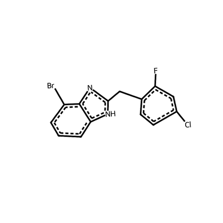 Fc1cc(Cl)ccc1Cc1nc2c(Br)cccc2[nH]1